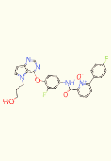 O=C(Nc1ccc(Oc2ncnc3ccn(CCCO)c23)c(F)c1)c1cccc(-c2ccc(F)cc2)[n+]1[O-]